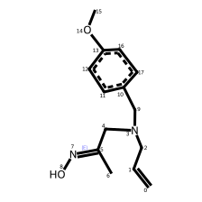 C=CCN(C/C(C)=N/O)Cc1ccc(OC)cc1